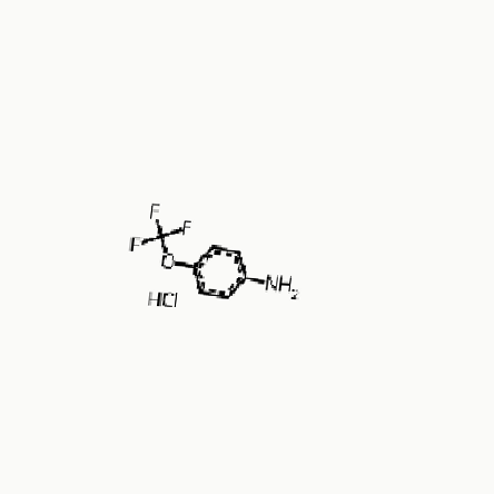 Cl.Nc1ccc(OC(F)(F)F)cc1